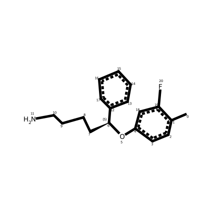 Cc1ccc(O[C@@H](CCCCN)c2ccccc2)cc1F